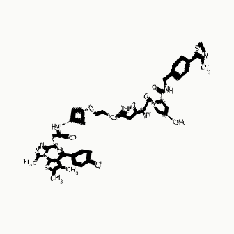 Cc1ncsc1-c1ccc(CNC(=O)[C@@H]2C[C@@H](O)CN2C(=O)[C@H](c2cc(OCCO[C@H]3C[C@@H](NC(=O)C[C@@H]4N=C(c5ccc(Cl)cc5)c5c(sc(C)c5C)-n5c(C)nnc54)C3)no2)C(C)C)cc1